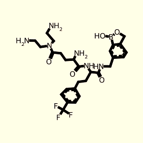 NCCN(CCN)C(=O)CCC(N)C(=O)NC(CCc1ccc(C(F)(F)F)cc1)C(=O)NCc1ccc2c(c1)B(O)OC2